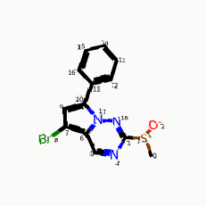 C[S+]([O-])c1ncc2c(Br)cc(-c3ccccc3)n2n1